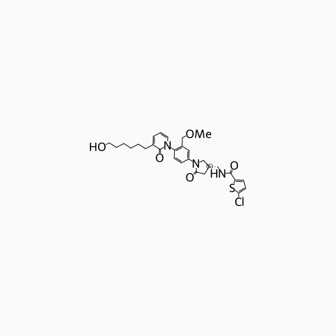 COCc1cc(N2C[C@H](CNC(=O)c3ccc(Cl)s3)CC2=O)ccc1-n1cccc(CCCCCCO)c1=O